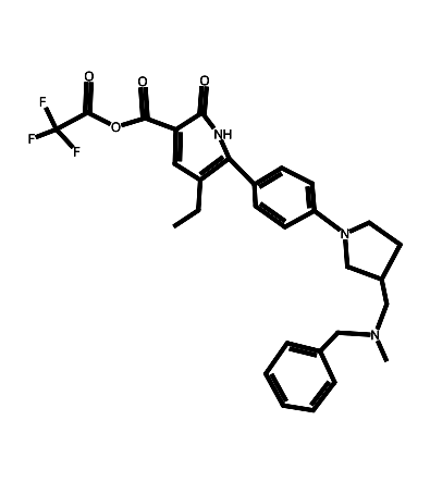 CCc1cc(C(=O)OC(=O)C(F)(F)F)c(=O)[nH]c1-c1ccc(N2CCC(CN(C)Cc3ccccc3)C2)cc1